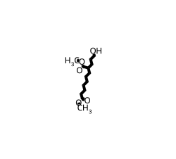 COC(=O)CCCCCCC(CCCO)C(=O)OC